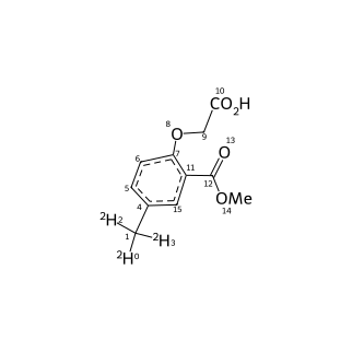 [2H]C([2H])([2H])c1ccc(OCC(=O)O)c(C(=O)OC)c1